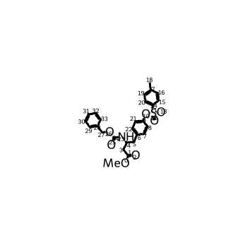 COC(=O)CC(Cc1ccc(OS(=O)(=O)c2ccc(C)cc2)cc1)NC(=O)OCc1ccccc1